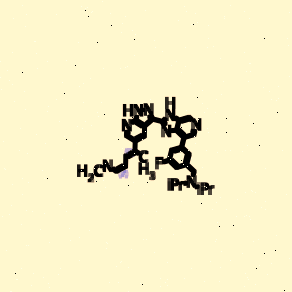 C=N/C=C\C=C(/C)c1cnc2[nH]nc(-c3nc4c(-c5cc(F)cc(CN(C(C)C)C(C)C)c5)cncc4[nH]3)c2c1